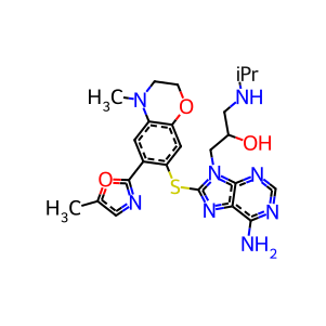 Cc1cnc(-c2cc3c(cc2Sc2nc4c(N)ncnc4n2CC(O)CNC(C)C)OCCN3C)o1